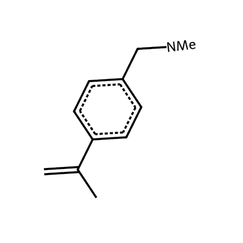 C=C(C)c1ccc(CNC)cc1